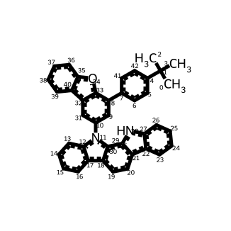 CC(C)(C)c1ccc(-c2cc(-n3c4ccccc4c4ccc5c6ccccc6[nH]c5c43)cc3c2oc2ccccc23)cc1